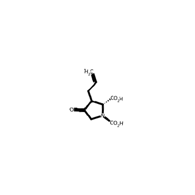 C=CCC1C(=O)CN(C(=O)O)[C@H]1C(=O)O